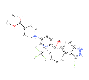 COC(OC)C1CCN(c2ccc(C3(O)c4ccc5[nH]nc(F)c5c4CCCC3CC(F)(F)F)nc2)CC1